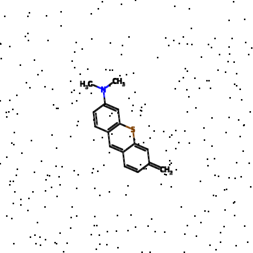 C=c1ccc2c(c1)Sc1cc(N(C)C)ccc1C=2